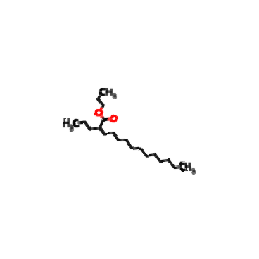 CCCCCCCCCCCCC(CCC)C(=O)OCCC